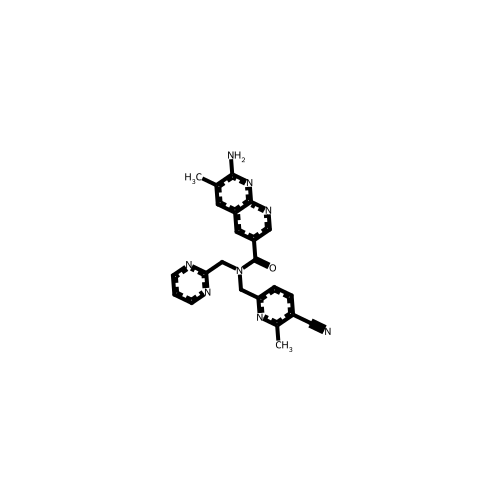 Cc1cc2cc(C(=O)N(Cc3ccc(C#N)c(C)n3)Cc3ncccn3)cnc2nc1N